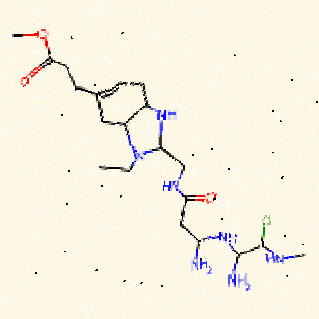 CCN1C(CNC(=O)CC(N)NC(N)C(Cl)NC)NC2CC=C(CCC(=O)OC)CC21